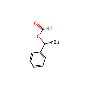 CCCCC(OC(=O)Cl)c1ccccc1